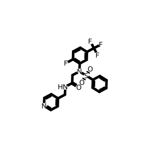 O=C(CN(c1cc(C(F)(F)F)ccc1F)S(=O)(=O)c1ccccc1)NCc1ccncc1